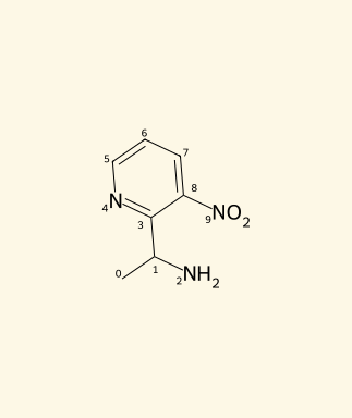 CC(N)c1ncccc1[N+](=O)[O-]